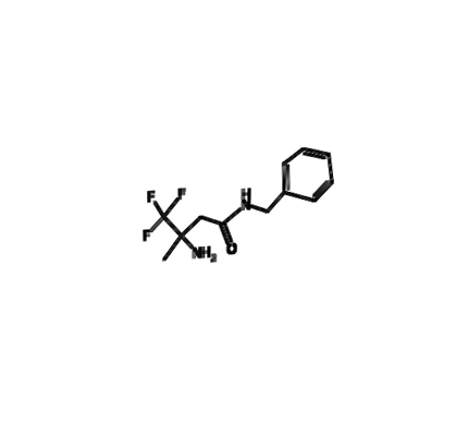 CC(N)(CC(=O)NCc1ccccc1)C(F)(F)F